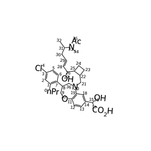 CCCc1cc(Cl)ccc1C1COc2ccc(C(O)C(=O)O)cc2N(CC2CCC2C(O)/C=C/CC(C)N(C)C(C)=O)C1